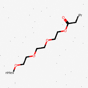 CCCCCCOCCOCCOCCOC(=O)CC(C)C